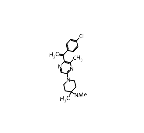 C=C(c1ccc(Cl)cc1)c1ncc(N2CCC(C)(NC)CC2)nc1C